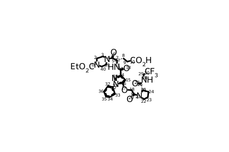 CCOC(=O)N1CCN(C(=O)[C@H](CCC(=O)O)NC(=O)c2cc(OCC(=O)N3CCC[C@H]3C(=O)NCC(F)(F)F)n(-c3ccccc3)n2)CC1